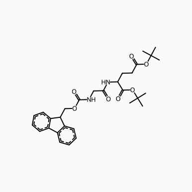 CC(C)(C)OC(=O)CCC(NC(=O)CNC(=O)OCC1c2ccccc2-c2ccccc21)C(=O)OC(C)(C)C